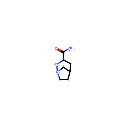 NC(=O)C1CC2CCN(C2)N1